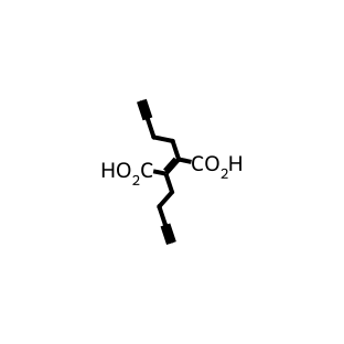 C#CCCC(C(=O)O)=C(CCC#C)C(=O)O